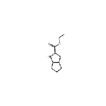 CCOC(=O)C1CC2CCCC2N1